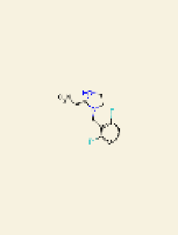 O=[N+]([O-])C=C1NCCN1Cc1c(F)cccc1F